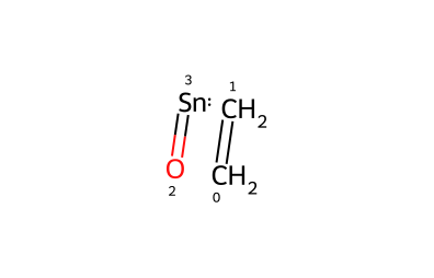 C=C.[O]=[Sn]